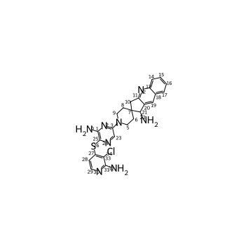 Nc1nc(N2CCC3(CC2)Cc2nc4ccccc4cc2[C@H]3N)cnc1Sc1ccnc(N)c1Cl